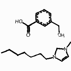 CCCCCCCN1C=CN(C)C1.O=C(O)c1cccc(CO)c1